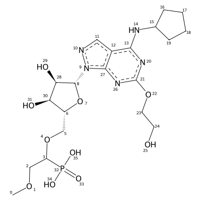 COCC(OC[C@H]1O[C@@H](n2ncc3c(NC4CCCC4)nc(OCCO)nc32)[C@H](O)[C@@H]1O)P(=O)(O)O